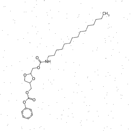 CCCCCCCCCCCCCCCNC(=O)OCC1OCC(COC(=O)Oc2ccccc2)O1